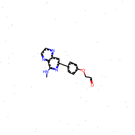 CNc1nc(-c2ccc(OCC=O)cc2)cc2nccnc12